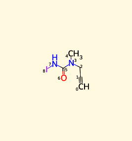 C#CCN(C)C(=O)NI